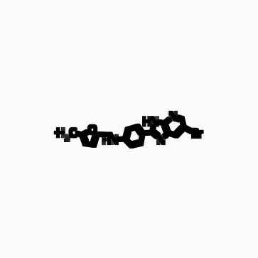 [CH2]c1ccc(CNc2ccc(-c3nc4cc(Br)cnc4[nH]3)cc2)o1